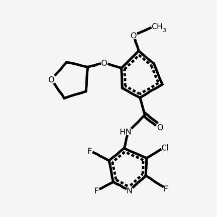 COc1ccc(C(=O)Nc2c(F)c(F)nc(F)c2Cl)cc1OC1CCOC1